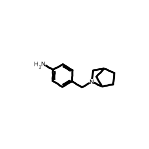 Nc1ccc(CN2CC3CCC2C3)cc1